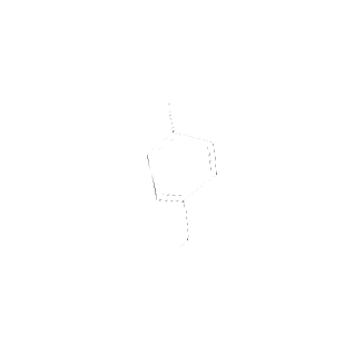 [CH2]C(=O)c1ccc(CC(C)C)cc1